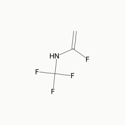 C=C(F)NC(F)(F)F